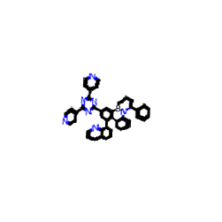 C1=CB2c3cc(-c4nc(-c5ccncc5)nc(-c5ccncc5)n4)cc(-c4cccc5cccnc45)c3-c3ccccc3N2C(c2ccccc2)=C1